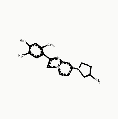 COc1cc(C)c(-c2cn3ccc(N4CCC(N)C4)cc3n2)cc1C